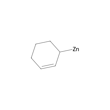 [Zn][CH]1C=CCCC1